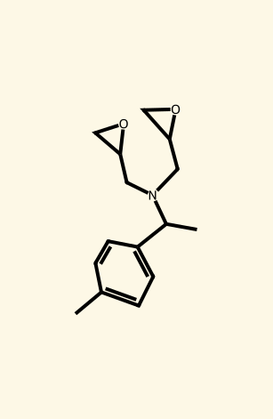 Cc1ccc(C(C)N(CC2CO2)CC2CO2)cc1